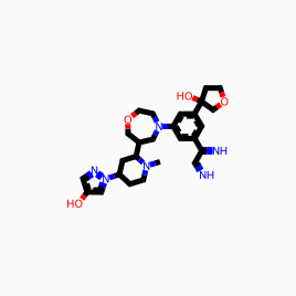 CN1CCC(n2cc(O)cn2)CC1C1COCCN(c2cc(C(=N)C=N)cc(C3(O)CCOC3)c2)C1